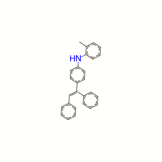 Cc1ccccc1Nc1ccc(/C(=C/c2ccccc2)c2ccccc2)cc1